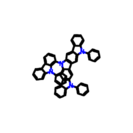 c1ccc(-n2c3ccccc3c3cc4c(cc32)c2cc3c(cc2n4-c2cccc4c5ccccc5n(-c5ccccc5)c24)c2ccccc2n3-c2ccccc2)cc1